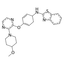 COC1CCN(c2nccnc2OC2=CCC(Nc3nc4ccccc4s3)C=C2)CC1